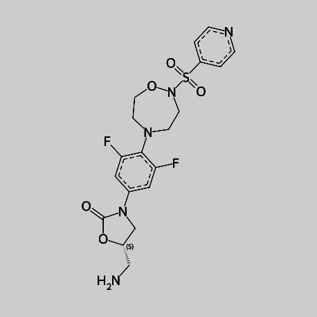 NC[C@H]1CN(c2cc(F)c(N3CCON(S(=O)(=O)c4ccncc4)CC3)c(F)c2)C(=O)O1